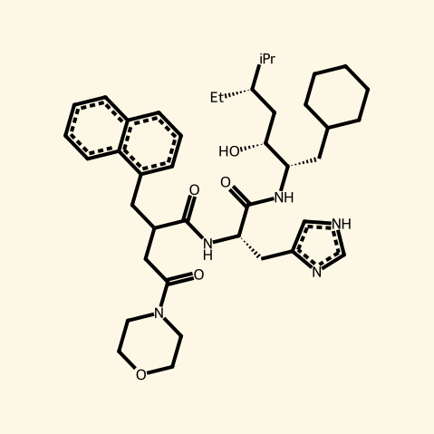 CC[C@@H](C[C@@H](O)[C@H](CC1CCCCC1)NC(=O)[C@H](Cc1c[nH]cn1)NC(=O)C(CC(=O)N1CCOCC1)Cc1cccc2ccccc12)C(C)C